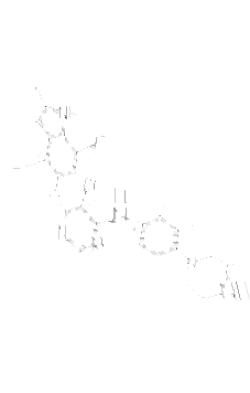 Cc1cc2c(F)c(Oc3ncnc(Nc4ccc(N5CCNCC5)cc4)c3Br)cc(F)c2[nH]1